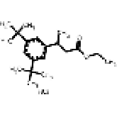 CCOC(=O)CC(N)c1cc(C(C)(C)C)cc(C(C)(C)C)c1.Cl